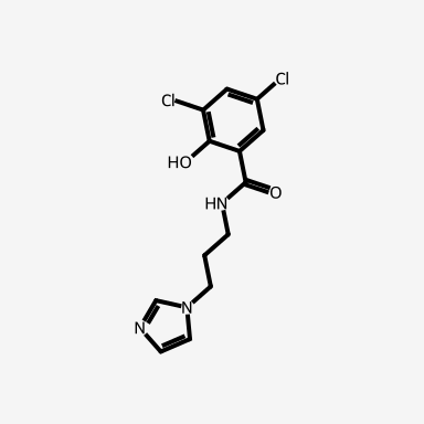 O=C(NCCCn1ccnc1)c1cc(Cl)cc(Cl)c1O